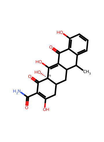 CC1c2cccc(O)c2C(=O)C2=C(O)[C@]3(O)C(=O)C(C(N)=O)=C(O)CC3CC21